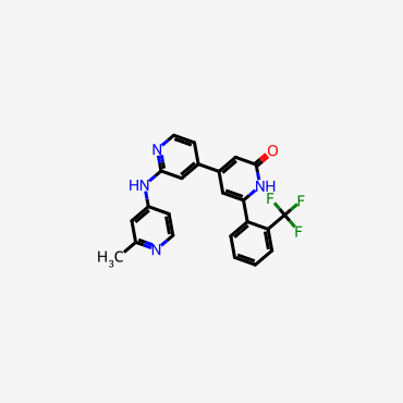 Cc1cc(Nc2cc(-c3cc(-c4ccccc4C(F)(F)F)[nH]c(=O)c3)ccn2)ccn1